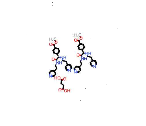 COC(=O)c1ccc(C(NCCc2ccncc2)C(=O)NCCc2ccncc2)cc1.COC(=O)c1ccc(C(NCCc2ccncc2)C(=O)NCCc2ccncc2)cc1.O=C(O)CCC(=O)O